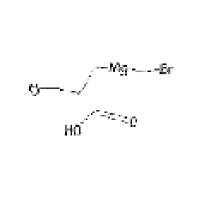 ClC[CH2][Mg][Br].O=CO